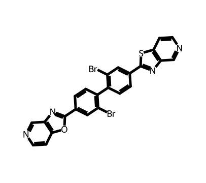 Brc1cc(-c2nc3cnccc3o2)ccc1-c1ccc(-c2nc3cnccc3s2)cc1Br